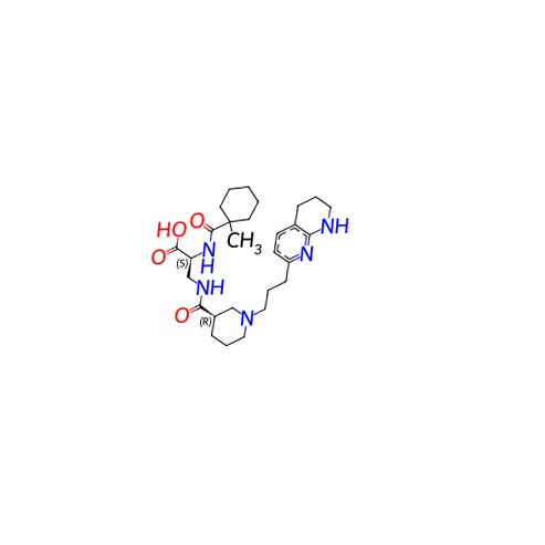 CC1(C(=O)N[C@@H](CNC(=O)[C@@H]2CCCN(CCCc3ccc4c(n3)NCCC4)C2)C(=O)O)CCCCC1